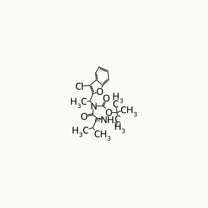 CC(C)[C@H](N)C(=O)N(C(=O)OC(C)(C)C)C(C)c1oc2ccccc2c1Cl